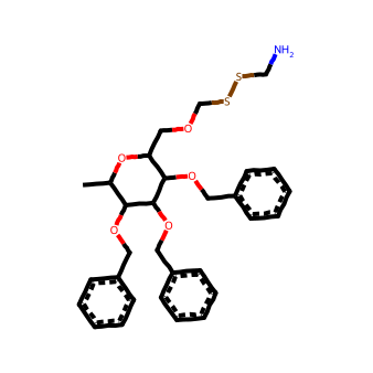 CC1OC(COCSSCN)C(OCc2ccccc2)C(OCc2ccccc2)C1OCc1ccccc1